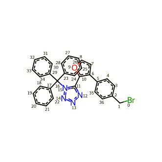 BrCc1ccc(-c2ccoc2-c2nnnn2C(c2ccccc2)(c2ccccc2)c2ccccc2)cc1